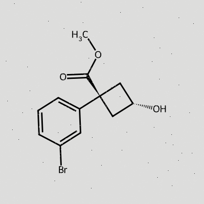 COC(=O)[C@]1(c2cccc(Br)c2)C[C@@H](O)C1